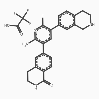 Nc1nc(F)c(-c2ccc3c(c2)CNCC3)cc1-c1ccc2c(c1)CCNC2=O.O=C(O)C(F)(F)F